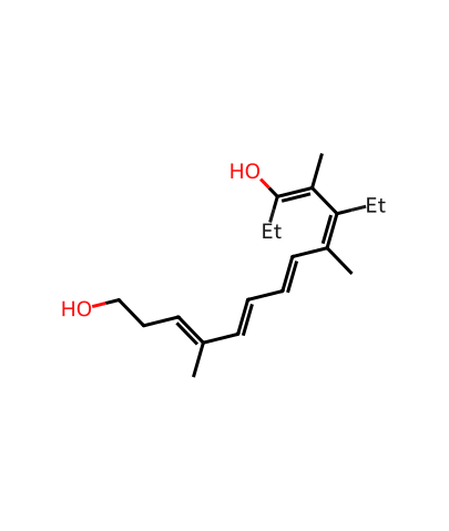 CCC(O)=C(C)C(CC)=C(C)C=CC=CC(C)=CCCO